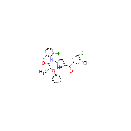 Cc1cc(C(=O)c2ccc(N(C(=O)C(C)Oc3ccccc3)c3c(F)cccc3F)nc2)ccc1Cl